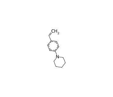 C=Cc1ccc(N2CCCCC2)cc1